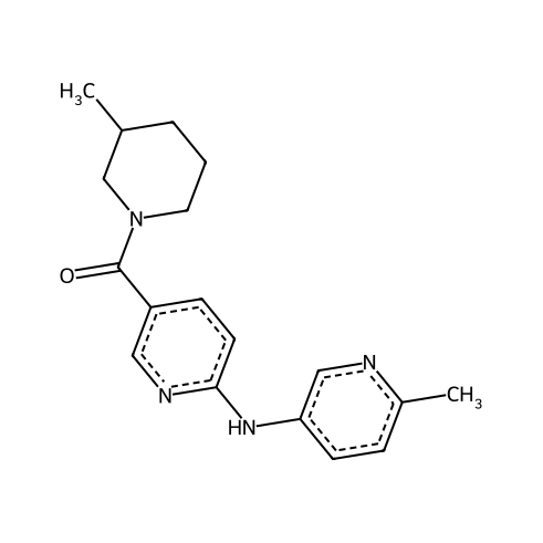 Cc1ccc(Nc2ccc(C(=O)N3CCCC(C)C3)cn2)cn1